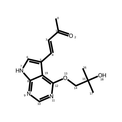 CC(=O)C=Cc1c[nH]c2ncnc(OCC(C)(C)O)c12